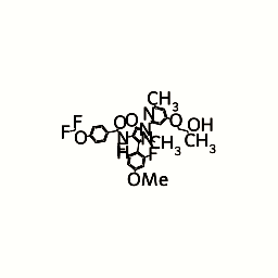 COc1cc(F)c(-c2c(NC(=O)c3ccc(OC(F)F)cc3)c(=O)n(-c3cc(OCC(C)O)cc(C)n3)n2C)c(F)c1